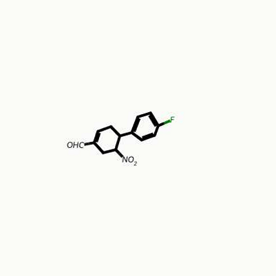 O=CC1=CCC(c2ccc(F)cc2)C([N+](=O)[O-])C1